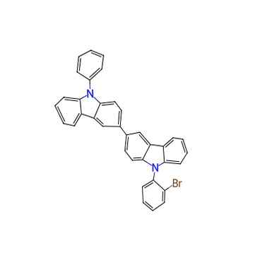 Brc1ccccc1-n1c2ccccc2c2cc(-c3ccc4c(c3)c3ccccc3n4-c3ccccc3)ccc21